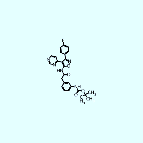 CC(C)(C)OC(=O)Nc1cccc(CC(=O)Nc2onc(-c3ccc(F)cc3)c2-c2ccncn2)c1